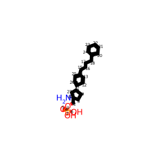 N[C@@]1(COP(=O)(O)O)CC[C@@H](c2ccc(CCCCc3ccccc3)cc2)C1